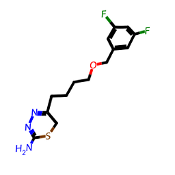 NC1=NN=C(CCCCOCc2cc(F)cc(F)c2)CS1